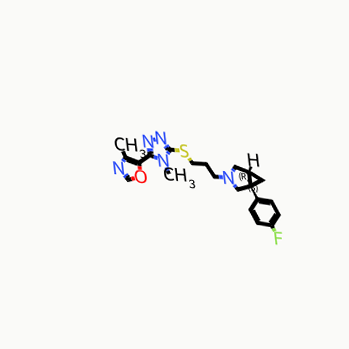 Cc1ncoc1-c1nnc(SCCCN2C[C@@H]3C[C@]3(c3ccc(F)cc3)C2)n1C